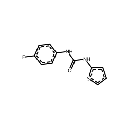 O=C(Nc1ccc(F)cc1)Nc1cccs1